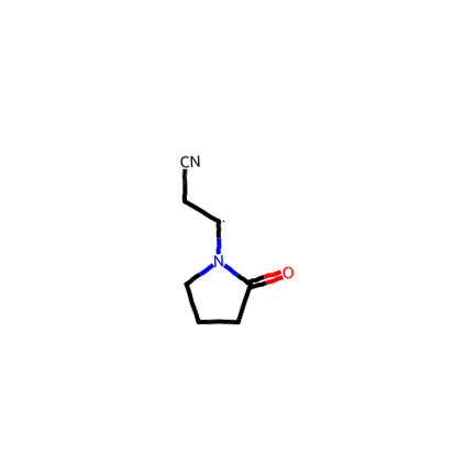 N#CC[CH]N1CCCC1=O